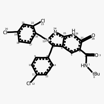 CC(C)(C)NC(=O)c1cc2c(-c3ccc(Cl)cc3)n(-c3ccc(Cl)cc3Cl)nc2[nH]c1=O